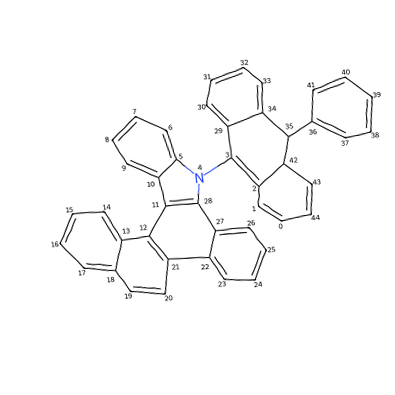 C1=CC2=C(n3c4ccccc4c4c5c6ccccc6ccc5c5ccccc5c43)c3ccccc3C(c3ccccc3)C2C=C1